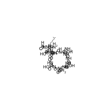 COC(C(=O)O)C1NC(=O)C(C)NC(=O)C(CC(=O)O)NC(=O)C(CCCN)NC(=O)CNC(=O)C(NC(=O)C(CC(=O)O)NC(=O)C(CC(N)=O)NC(=O)C(Cc2c[nH]c3ccccc23)NC(=O)CCCCCCC(C)C)C(C)OC(=O)C(C(C)C)NC(=O)C(CCC(=O)O)NC(=O)C(CC(N)=O)NC(=O)CNC1=O